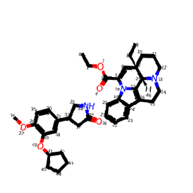 CCOC(=O)C1=C[C@]2(CC)CCCN3CCc4c(n1c1ccccc41)[C@@H]32.COc1ccc(C2CNC(=O)C2)cc1OC1CCCC1